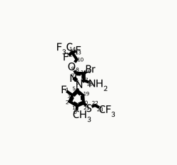 Cc1cc(F)c(-n2nc(OCC(F)(F)C(F)(F)F)c(Br)c2N)cc1SCC(F)(F)F